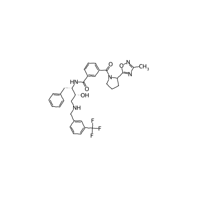 Cc1noc(C2CCCN2C(=O)c2cccc(C(=O)N[C@@H](Cc3ccccc3)[C@H](O)CNCc3cccc(C(F)(F)F)c3)c2)n1